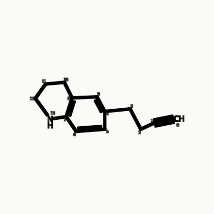 C#CCCc1ccc2c(c1)CCCN2